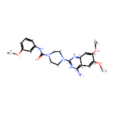 COc1cccc(NC(=O)N2CCN(c3nc(N)c4cc(OC)c(OC)cc4n3)CC2)c1